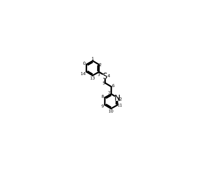 c1ccc(SCCc2ccccn2)cc1